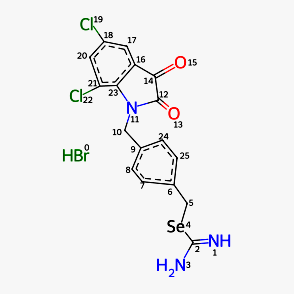 Br.N=C(N)[Se]Cc1ccc(CN2C(=O)C(=O)c3cc(Cl)cc(Cl)c32)cc1